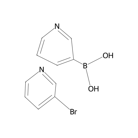 Brc1cccnc1.OB(O)c1cccnc1